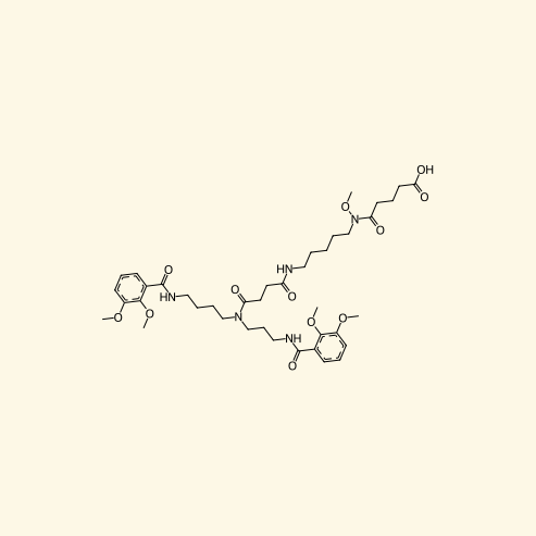 COc1cccc(C(=O)NCCCCN(CCCNC(=O)c2cccc(OC)c2OC)C(=O)CCC(=O)NCCCCCN(OC)C(=O)CCCC(=O)O)c1OC